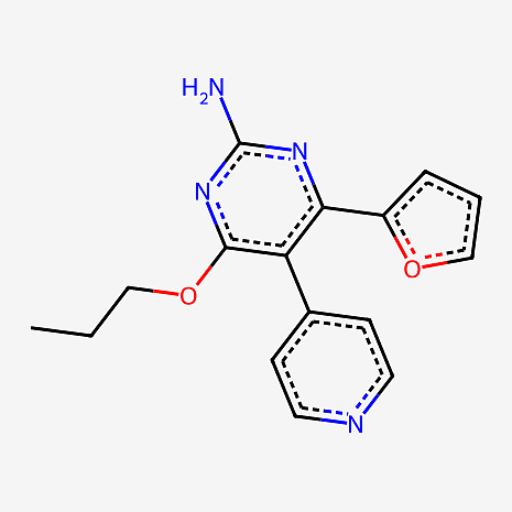 CCCOc1nc(N)nc(-c2ccco2)c1-c1ccncc1